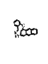 CC(C)N=Cc1ccccc1Oc1cccc2cc3ccccc3cc12